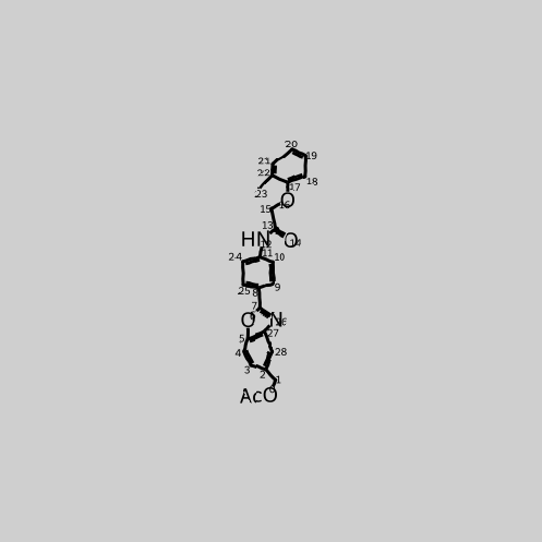 CC(=O)OCc1ccc2oc(-c3ccc(NC(=O)COc4ccccc4C)cc3)nc2c1